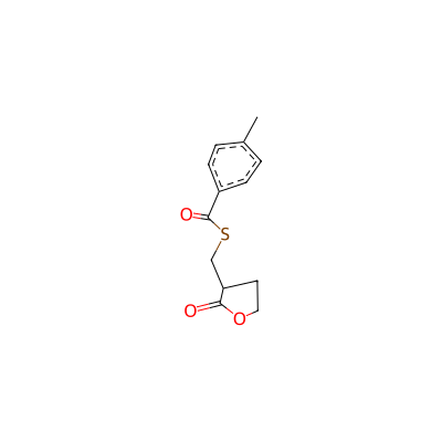 Cc1ccc(C(=O)SCC2CCOC2=O)cc1